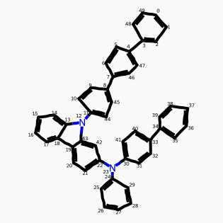 c1ccc(-c2ccc(-c3ccc(-n4c5ccccc5c5ccc(N(c6ccccc6)c6ccc(-c7ccccc7)cc6)cc54)cc3)cc2)cc1